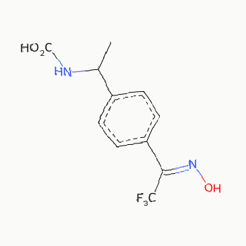 CC(NC(=O)O)c1ccc(/C(=N/O)C(F)(F)F)cc1